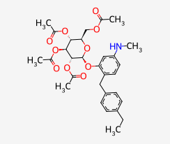 CCc1ccc(Cc2ccc(NC)cc2O[C@@H]2O[C@H](COC(C)=O)[C@@H](OC(C)=O)[C@H](OC(C)=O)[C@H]2OC(C)=O)cc1